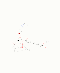 CCCCCC(CCCCC)CC(=O)OCC(COC(=O)CCCCCCCC(=O)OCCCC)(COC(=O)CCCN(C)C)COC(=O)CC(CCCCC)CCCCC